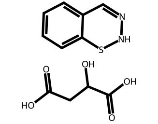 C1=NNSc2ccccc21.O=C(O)CC(O)C(=O)O